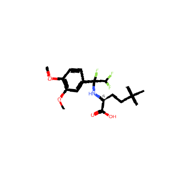 COc1ccc(C(F)(N[C@@H](CCC(C)(C)C)C(=O)O)C(F)F)cc1OC